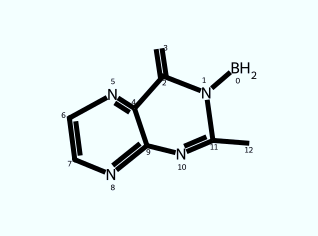 BN1C(=C)c2nccnc2N=C1C